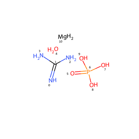 N=C(N)N.O.O=P(O)(O)O.[MgH2]